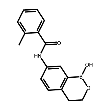 Cc1ccccc1C(=O)Nc1ccc2c(c1)B(O)OCC2